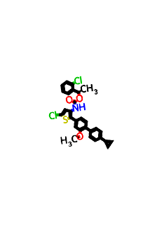 COc1cc(-c2sc(Cl)cc2NC(=O)O[C@H](C)c2ccccc2Cl)ccc1-c1ccc(C2CC2)cc1